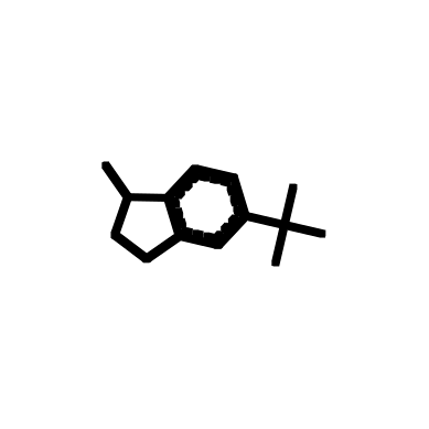 CC1CCc2cc(C(C)(C)C)ccc21